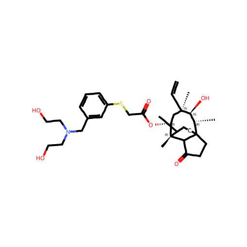 C=C[C@]1(C)C[C@@H](OC(=O)CSc2cccc(CN(CCO)CCO)c2)[C@]2(C)C(C)CCC3(CCC(=O)C32)[C@@H](C)[C@@H]1O